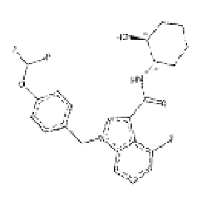 O=C(N[C@H]1CCCC[C@@H]1O)c1cn(Cc2ccc(OC(F)F)cc2)c2cccc(F)c12